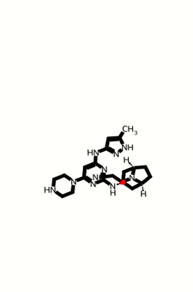 Cc1cc(Nc2cc(N3CCNCC3)nc(N[C@@H]3C[C@H]4CC[C@@H](C3)N4CCC#N)n2)n[nH]1